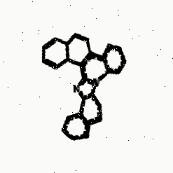 C1=CC2C=Cc3c(c4nc5c6ccccc6ccc5n4c4ccccc34)C2C=C1